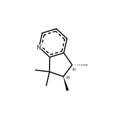 C[C@@H]1[C@@H](C)c2cccnc2C1(C)C